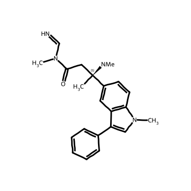 CN[C@@](C)(CC(=O)N(C)C=N)c1ccc2c(c1)c(-c1ccccc1)cn2C